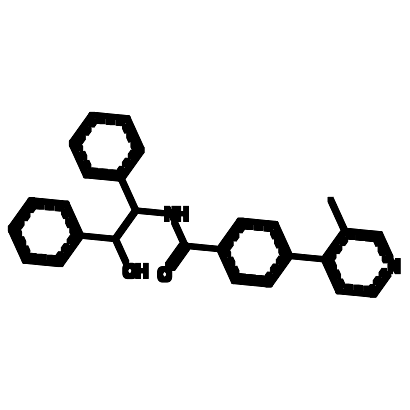 Cc1cnccc1-c1ccc(C(=O)NC(c2ccccc2)C(O)c2ccccc2)cc1